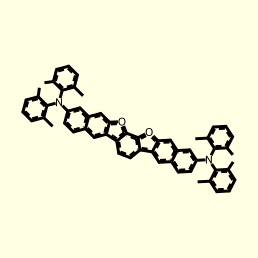 Cc1cccc(C)c1N(c1ccc2cc3c(cc2c1)oc1c3ccc2c3cc4ccc(N(c5c(C)cccc5C)c5c(C)cccc5C)cc4cc3oc21)c1c(C)cccc1C